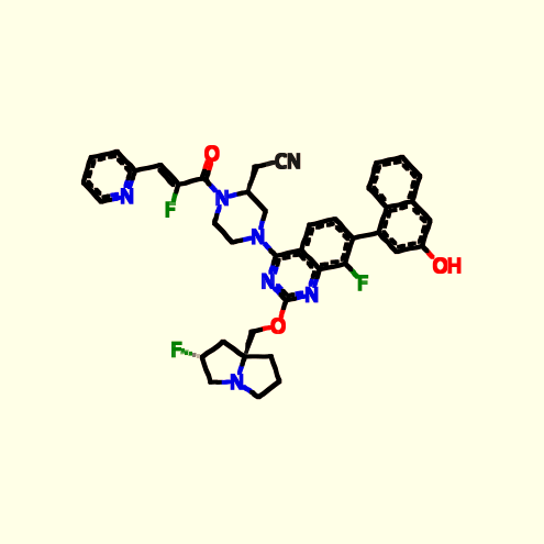 N#CC[C@H]1CN(c2nc(OC[C@@]34CCCN3C[C@H](F)C4)nc3c(F)c(-c4cc(O)cc5ccccc45)ccc23)CCN1C(=O)/C(F)=C/c1ccccn1